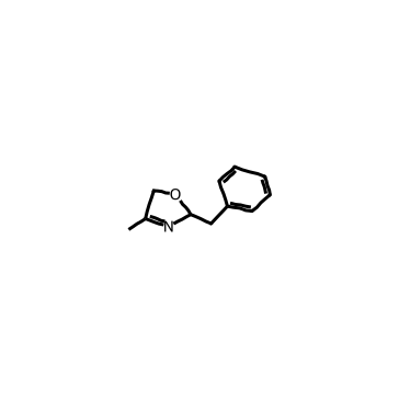 CC1=NC(Cc2ccccc2)OC1